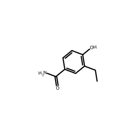 CCc1cc(C(N)=O)ccc1O